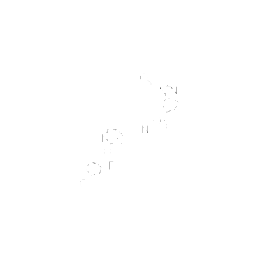 O=C(OCN1CCC(c2ccnc(OCc3ccc(Cl)cc3F)n2)CC1)c1ccc2ncn(C[C@@H]3CCO3)c2c1